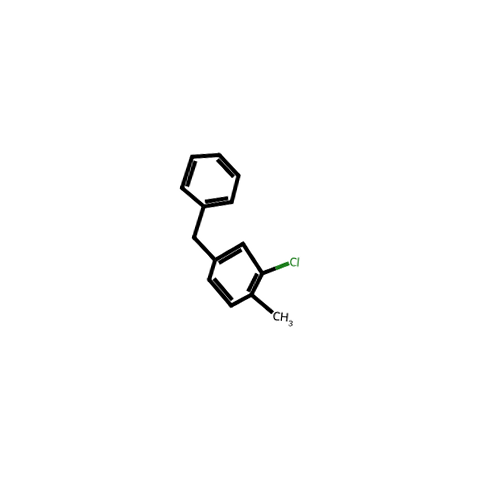 Cc1ccc(Cc2ccccc2)cc1Cl